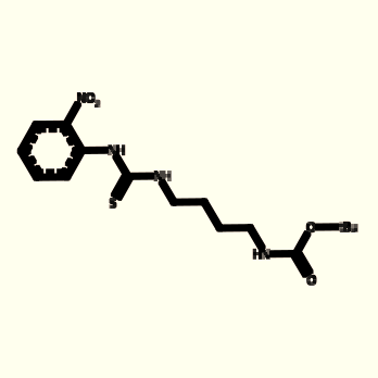 CC(C)(C)OC(=O)NCCCCNC(=S)Nc1ccccc1[N+](=O)[O-]